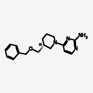 Nc1nccc(N2CCC[C@@H](COCc3ccccc3)C2)n1